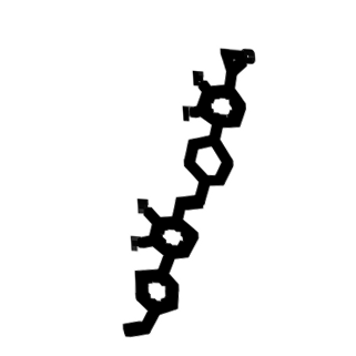 C=Cc1ccc(-c2ccc(/C=C/C3CCC(c4ccc(C5CO5)c(F)c4F)CC3)c(F)c2F)cc1